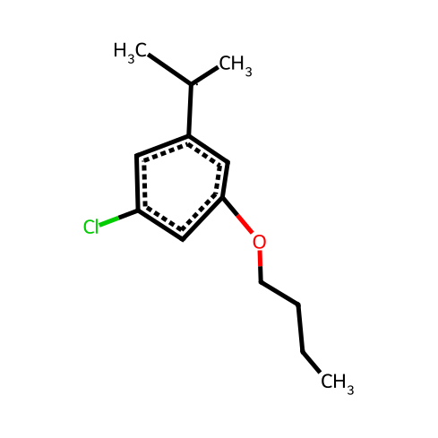 CCCCOc1cc(Cl)cc([C](C)C)c1